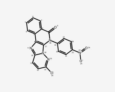 O=c1c2ccccc2c2nc3ccc(Cl)nn3c2n1-c1ccc([N+](=O)[O-])cc1